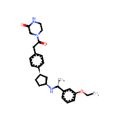 CCOc1cccc([C@@H](C)N[C@H]2CC[C@@H](c3ccc(CC(=O)N4CCNC(=O)C4)cc3)C2)c1